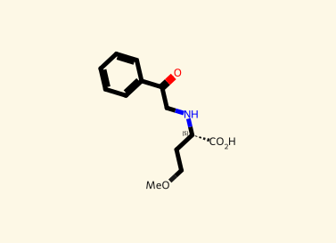 COCC[C@H](NCC(=O)c1ccccc1)C(=O)O